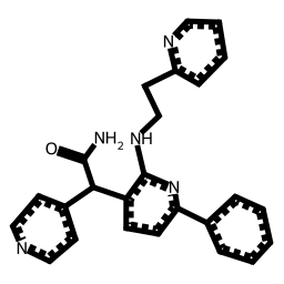 NC(=O)C(c1ccncc1)c1ccc(-c2ccccc2)nc1NCCc1ccccn1